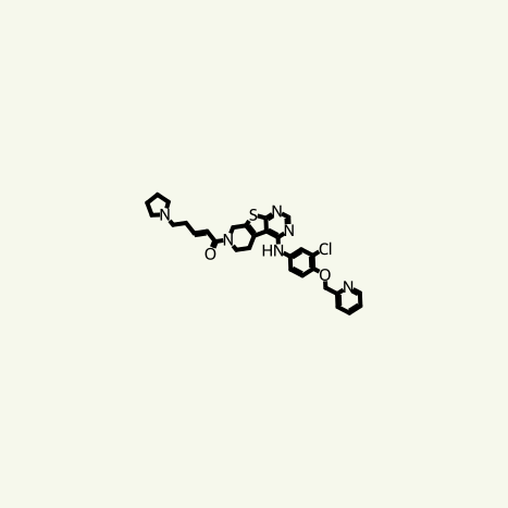 O=C(C=CCCN1CCCC1)N1CCc2c(sc3ncnc(Nc4ccc(OCc5ccccn5)c(Cl)c4)c23)C1